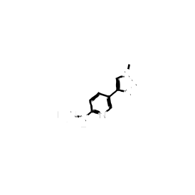 Cn1cc(-c2ccc(NN)nc2)nn1